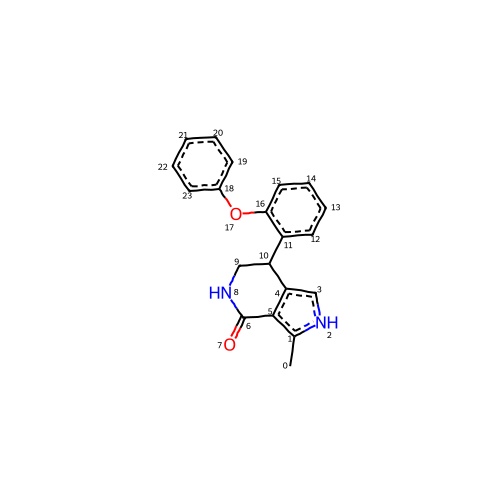 Cc1[nH]cc2c1C(=O)NCC2c1ccccc1Oc1ccccc1